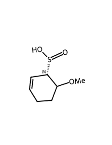 COC1CCC=C[C@@H]1S(=O)O